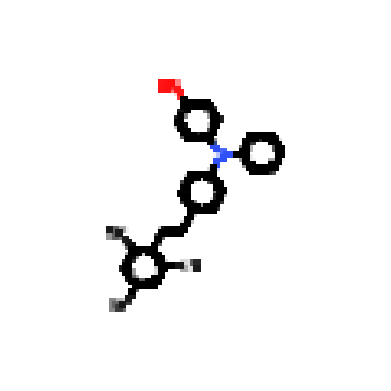 N#Cc1cc(C#N)c(C=Cc2ccc(N(c3ccccc3)c3ccc(O)cc3)cc2)c(C#N)c1